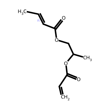 C=CC(=O)OC(C)COC(=O)/C=C/C